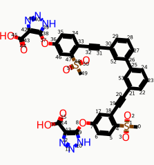 CS(=O)(=O)c1ccc(Oc2[nH]nnc2C(=O)O)cc1C#Cc1cccc(-c2cccc(C#Cc3ccc(Oc4[nH]nnc4C(=O)O)cc3S(C)(=O)=O)c2)c1